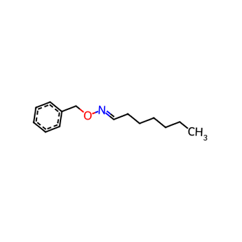 CCCCCC/C=N/OCc1ccccc1